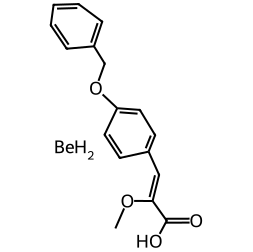 COC(=Cc1ccc(OCc2ccccc2)cc1)C(=O)O.[BeH2]